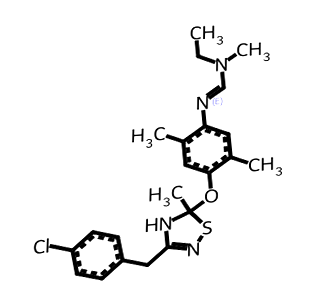 CCN(C)/C=N/c1cc(C)c(OC2(C)NC(Cc3ccc(Cl)cc3)=NS2)cc1C